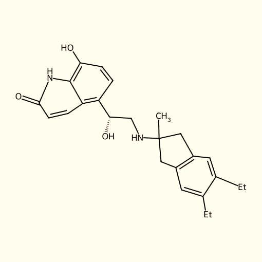 CCc1cc2c(cc1CC)CC(C)(NC[C@H](O)c1ccc(O)c3[nH]c(=O)ccc13)C2